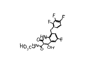 O=C(O)CNC(=O)c1c(O)c2cc(F)cc(Cc3ccc(F)c(F)c3F)c2[nH]c1=O